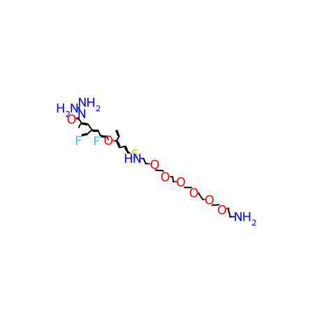 C=C/C(=C\C=C\SNCCOCCOCCOCCOCCOCCOCCN)O/C=C(F)/C=C(\C=C\F)/C=C(\C)C(=O)N=C(N)N